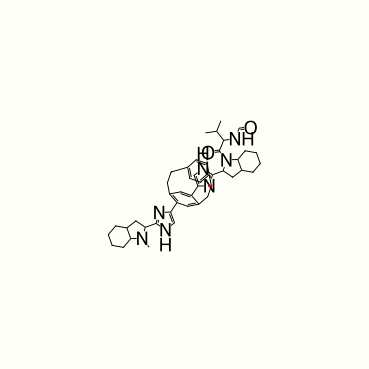 CC(C)C(NC=O)C(=O)N1C(c2nc(-c3cc4c(-c5c[nH]c(C6CC7CCCCC7N6C)n5)cc3CCc3ccc(cc3)CC4)c[nH]2)CC2CCCCC21